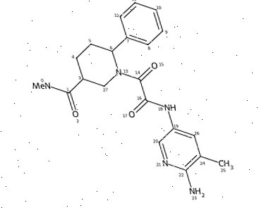 CNC(=O)C1CCC(c2ccccc2)N(C(=O)C(=O)Nc2cnc(N)c(C)c2)C1